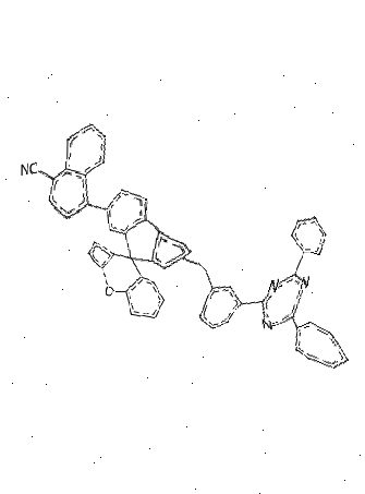 N#Cc1ccc(-c2ccc3c(c2)C2(c4ccccc4Oc4ccccc42)c2cc(-c4cccc(-c5nc(-c6ccccc6)nc(-c6ccccc6)n5)c4)ccc2-3)c2ccccc12